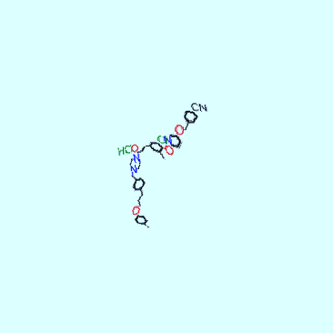 Cc1ccc(OCCCc2ccc(CN3CCN(C(=O)/C=C/c4cc(C)c(Oc5ccc(OCc6ccc(C#N)cc6)cn5)c(Cl)c4)CC3)cc2)cc1.Cl